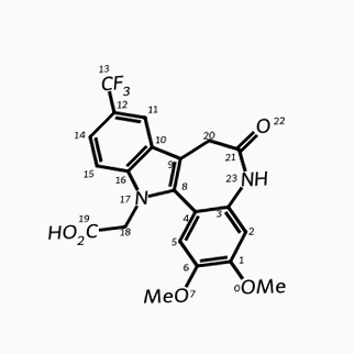 COc1cc2c(cc1OC)-c1c(c3cc(C(F)(F)F)ccc3n1CC(=O)O)CC(=O)N2